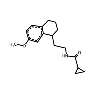 COc1ccc2c(c1)C(CCNC(=O)C1CC1)CCC2